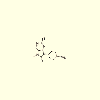 Cn1c(=O)n([C@H]2CC[C@H](C#N)CC2)c2nc(Cl)ncc21